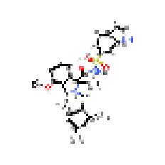 CCOc1cccc2c1CN(Cc1c(C)cc(C)cc1C)C2(C)C(=O)NS(=O)(=O)c1ccc2cc[nH]c2c1